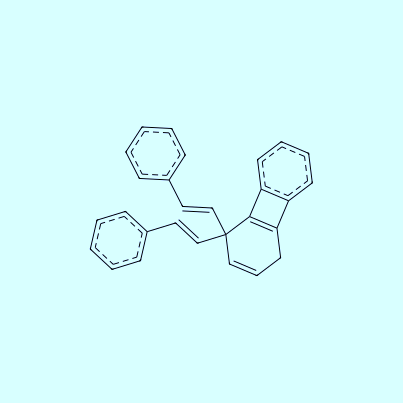 C1=CC(/C=C/c2ccccc2)(/C=C/c2ccccc2)C2=C(C1)c1ccccc12